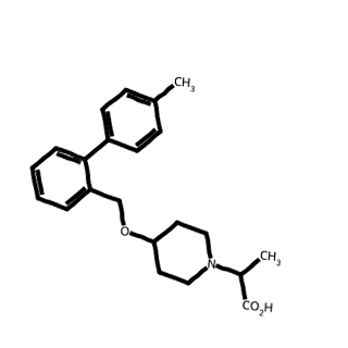 Cc1ccc(-c2ccccc2COC2CCN(C(C)C(=O)O)CC2)cc1